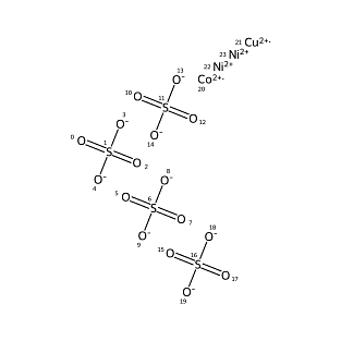 O=S(=O)([O-])[O-].O=S(=O)([O-])[O-].O=S(=O)([O-])[O-].O=S(=O)([O-])[O-].[Co+2].[Cu+2].[Ni+2].[Ni+2]